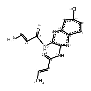 CC=CC(=O)Nc1nc2ccc(Cl)cc2nc1NC(=O)C=CC